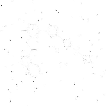 Cc1ccc(-c2nnn(C3CN(S(=O)(=O)C4COC4)C3)n2)cc1NC(=O)c1cnn2ccccc12